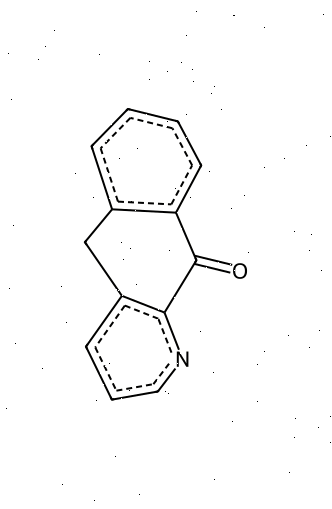 O=C1c2ccccc2Cc2cccnc21